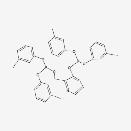 Cc1cccc(OP(OCc2ncccc2OP(Oc2cccc(C)c2)Oc2cccc(C)c2)Oc2cccc(C)c2)c1